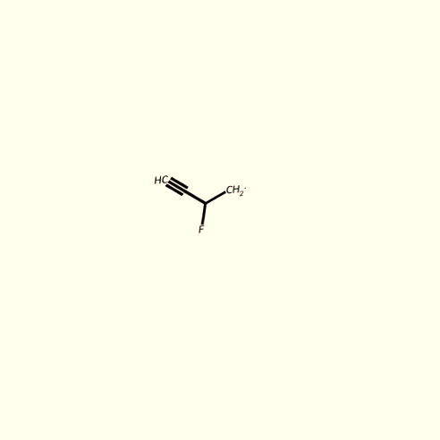 C#CC([CH2])F